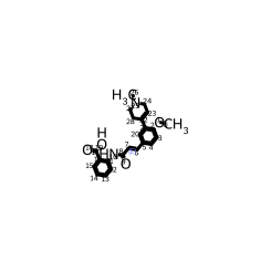 COc1ccc(/C=C/C(=O)Nc2ccccc2C(=O)O)cc1C1=CCN(C)CC1